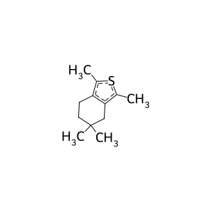 Cc1sc(C)c2c1CCC(C)(C)C2